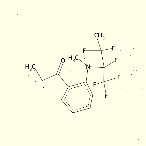 CCC(=O)c1ccccc1N(C)C(F)(C(C)(F)F)C(F)(F)F